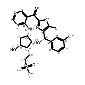 Cc1sc(C(=O)c2cncnc2N[C@@H]2C[C@H](CNS(=O)(=O)O)[C@@H](O)C2)nc1[C@@H](O)c1cccc(Cl)c1